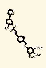 COc1cc(NCc2ccc(/C=C/C(=O)Nc3cc(-c4cccs4)ccc3N)cc2)cc(OC)c1OC